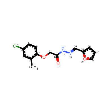 Cc1cc(Cl)ccc1OCC(=O)N/N=C/c1ccco1